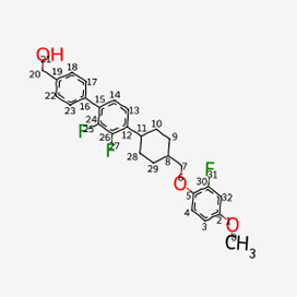 COc1ccc(OCC2CCC(c3ccc(-c4ccc(CO)cc4)c(F)c3F)CC2)c(F)c1